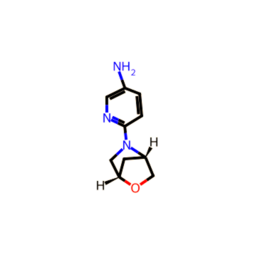 Nc1ccc(N2C[C@@H]3C[C@H]2CO3)nc1